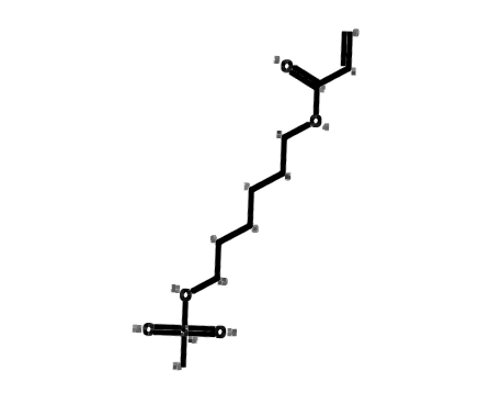 C=CC(=O)OCCCCCCOS(C)(=O)=O